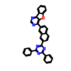 c1ccc(-c2nc(-c3ccccc3)nc(-c3ccc4ccc(-c5ncnc6c5oc5ccccc56)cc4c3)n2)cc1